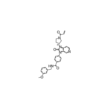 C=CC(=O)N1CC[C@@H](n2c(=O)n(-c3ccc(C(=O)NCc4cccc(OC)c4)cc3)c3cnccc32)C1